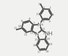 Cc1cccc(N2c3ccc(C)cc3N3c4ccccc4NC23)c1